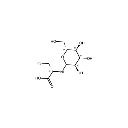 O=C(O)[C@H](CS)NC1O[C@H](CO)[C@@H](O)[C@H](O)[C@H]1O